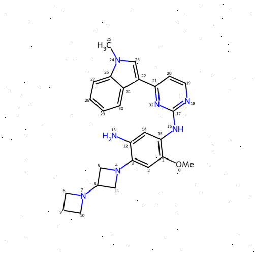 COc1cc(N2CC(N3CCC3)C2)c(N)cc1Nc1nccc(-c2cn(C)c3ccccc23)n1